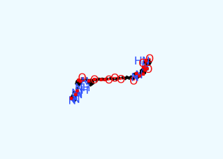 C[C@@H](NC(=O)c1cccc(NCc2nnc(-c3ccncn3)n2C)c1)c1cccc(OCCCCCCOCCOCCOCCCCCC(=O)N2CCN(c3ccc4c(c3)CN(C3CCC(=O)NC3=O)C4=O)CC2)c1